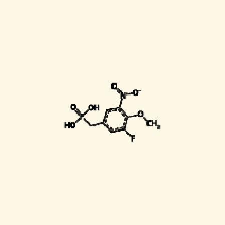 COc1c(F)cc(CP(=O)(O)O)cc1[N+](=O)[O-]